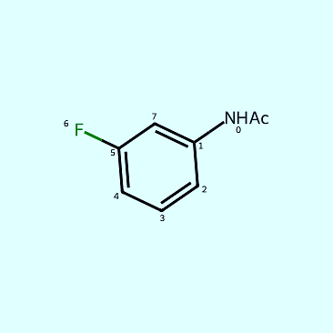 CC(=O)Nc1cccc(F)c1